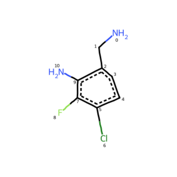 NCc1ccc(Cl)c(F)c1N